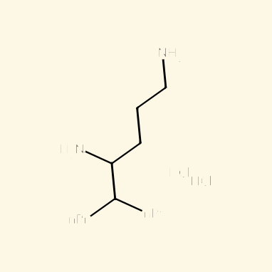 CCCC(CCC)C(N)CCCN.Cl.Cl